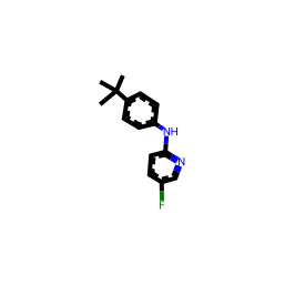 CC(C)(C)c1ccc(Nc2ccc(F)cn2)cc1